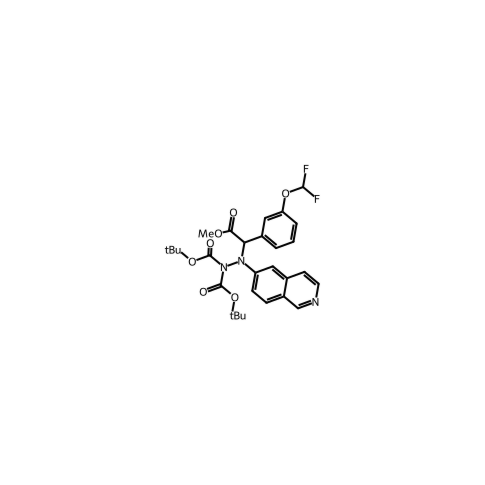 COC(=O)C(c1cccc(OC(F)F)c1)N(c1ccc2cnccc2c1)N(C(=O)OC(C)(C)C)C(=O)OC(C)(C)C